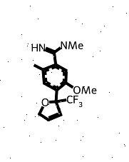 CNC(=N)c1cc(OC)c(C2(C(F)(F)F)C=CCO2)cc1C